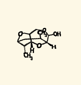 CC1C2OC3COC(O)[C@@H]1O[C@@H]3C2C